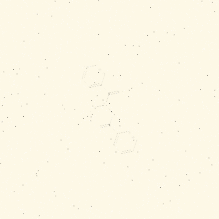 NN(NC(=S)c1ccccc1)C(=O)c1ccncc1